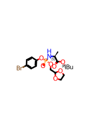 CC[C@@H](C)OC(=O)[C@H](C)NP(=O)(OCC1OCCO1)Oc1ccc(Br)cc1